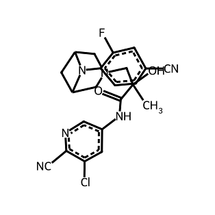 CC(O)(CN1CC2CC(C1)N2c1ccc(C#N)cc1F)C(=O)Nc1cnc(C#N)c(Cl)c1